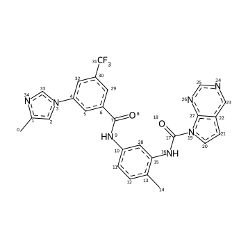 Cc1cn(-c2cc(C(=O)Nc3ccc(C)c(NC(=O)n4ccc5cncnc54)c3)cc(C(F)(F)F)c2)cn1